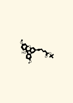 COc1ccc(C2(O)c3ccc(C#CCCCC(=O)OC(C)(C)C)cc3Oc3cc(OC)ccc32)cc1